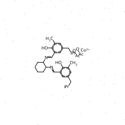 CC(=O)[O-].CC(=O)[O-].Cc1cc(CC(C)C)cc(C=NC2CCCCC2N=Cc2cc(CC(C)C)cc(C)c2O)c1O.[Co+2]